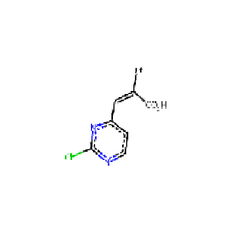 CCC(=Cc1ccnc(Cl)n1)C(=O)O